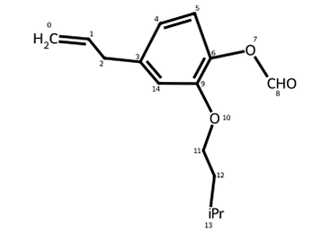 C=CCc1ccc(OC=O)c(OCCC(C)C)c1